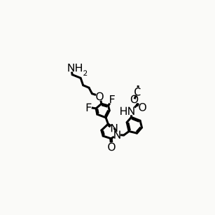 CCOC(=O)Nc1cccc(Cn2nc(-c3cc(F)c(OCCCCCN)c(F)c3)ccc2=O)c1